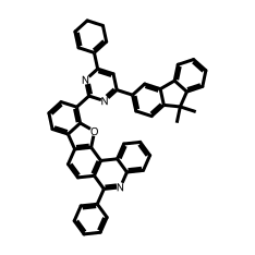 CC1(C)c2ccccc2-c2cc(-c3cc(C4=CCCC=C4)nc(-c4cccc5c4oc4c5ccc5c(-c6ccccc6)nc6ccccc6c54)n3)ccc21